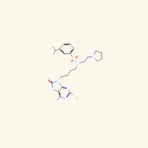 CCCCOc1nc(N)c2[nH]c(=O)n(CCCCN(CCN3CCCC3)S(=O)(=O)c3cccc(C(C)C(=O)O)c3)c2n1